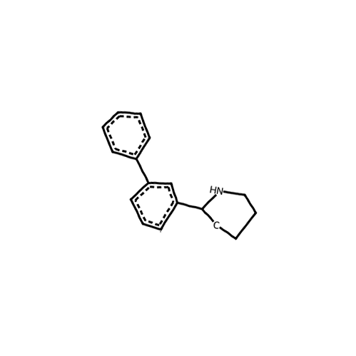 [c]1ccc(-c2ccccc2)cc1C1CCCCN1